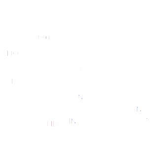 Br.CC(=O)N(C)c1ccc2c(c1)CN(CC(=O)c1cc(C(C)(C)C)c(O)c(C(C)(C)C)c1)C2=N